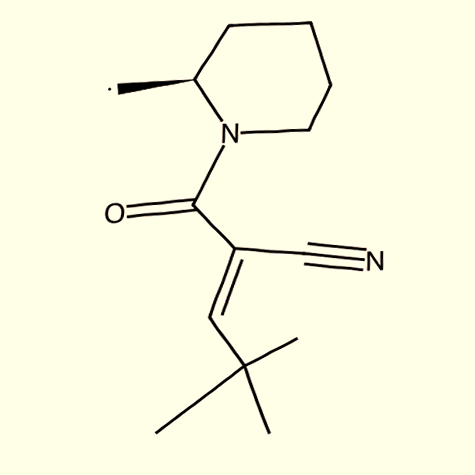 [CH2][C@H]1CCCCN1C(=O)C(C#N)=CC(C)(C)C